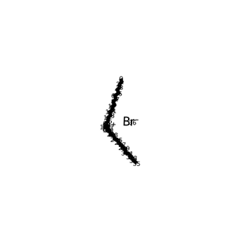 CCCCCCCCCCCCCCCCC[N+](C)(C)CCCCCCCCCCCCCCCC.[Br-]